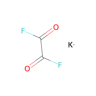 O=C(F)C(=O)F.[K]